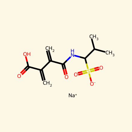 C=C(C(=C)C(=O)NC(C(C)C)S(=O)(=O)[O-])C(=O)O.[Na+]